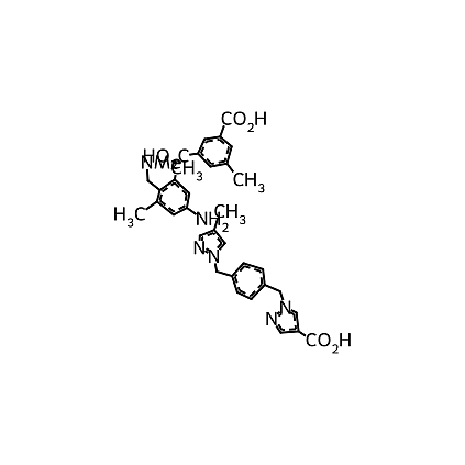 CNCc1c(C)cc(N)cc1C.Cc1cc(C(=O)O)cc(C(=O)O)c1.Cc1cnn(Cc2ccc(Cn3cc(C(=O)O)cn3)cc2)c1